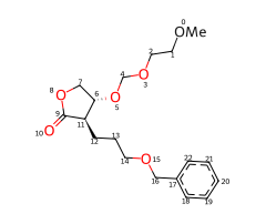 COCCOCO[C@H]1COC(=O)[C@@H]1CCCOCc1ccccc1